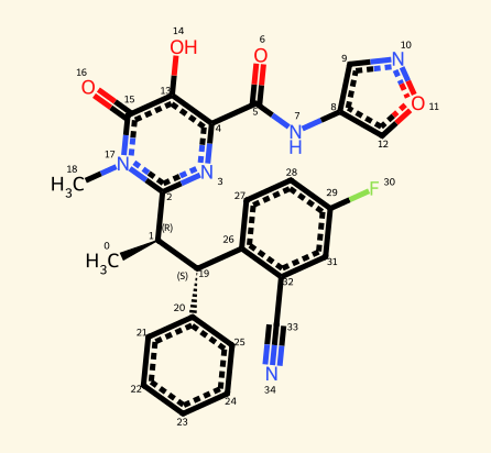 C[C@@H](c1nc(C(=O)Nc2cnoc2)c(O)c(=O)n1C)[C@@H](c1ccccc1)c1ccc(F)cc1C#N